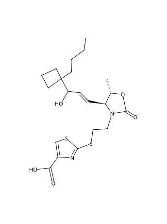 CCCCC1(C(O)/C=C/[C@H]2[C@H](C)OC(=O)N2CCSc2nc(C(=O)O)cs2)CCC1